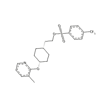 Cc1cccnc1O[C@H]1CC[C@@H](CCOS(=O)(=O)c2ccc(C(F)(F)F)cc2)CC1